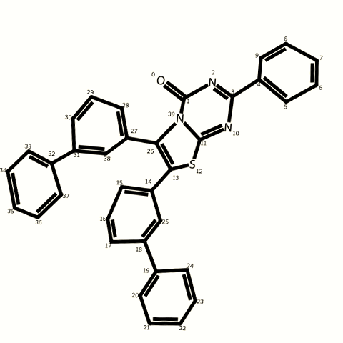 O=c1nc(-c2ccccc2)nc2sc(-c3cccc(-c4ccccc4)c3)c(-c3cccc(-c4ccccc4)c3)n12